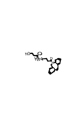 O=C(CCO)NCCC(=O)N1Cc2ccccc2C#Cc2ccccc21